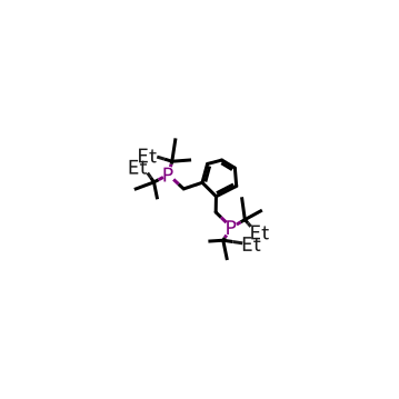 CCC(C)(C)P(Cc1ccccc1CP(C(C)(C)CC)C(C)(C)CC)C(C)(C)CC